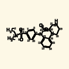 CN(C)S(=O)(=O)c1ccc(N(c2ccccc2N2CCNCC2)[SH](=O)=O)cc1